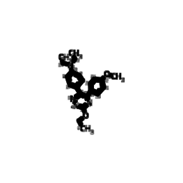 CCOc1nnc(-c2ccc(N(CC)CC)cc2)c(-c2ccc(OC)cc2)n1